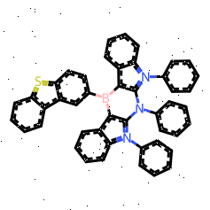 c1ccc(N2c3c(c4ccccc4n3-c3ccccc3)B(c3ccc4sc5ccccc5c4c3)c3c2n(-c2ccccc2)c2ccccc32)cc1